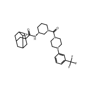 O=C(N1CCN(c2cccc(C(F)(F)F)c2)CC1)N1CCC[C@H](NC(=O)C23CC4CC(C2)C(O)C(C4)C3)C1